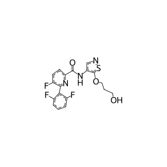 O=C(Nc1cnsc1OCCCO)c1ccc(F)c(-c2c(F)cccc2F)n1